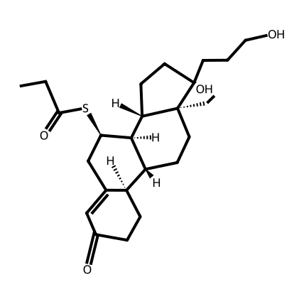 CCC(=O)S[C@@H]1CC2=CC(=O)CC[C@@H]2[C@H]2CC[C@@]3(CC)[C@@H](CC[C@@]3(O)CCCO)[C@@H]21